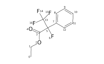 CCOC(=O)C(F)(c1ccccc1)C(F)(F)F